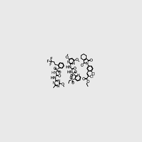 CCOC(=O)/C(Cl)=C/c1cc(N2C(=O)C3=C(CCCC3)C2=O)ccc1Cl.CCS(=O)(=O)c1cccnc1S(=O)(=O)NC(=O)Nc1nc(OC)cc(OC)n1.COc1nc(C)nc(NC(=O)NS(=O)(=O)c2ccccc2CCC(F)(F)F)n1